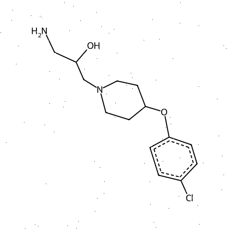 NCC(O)CN1CCC(Oc2ccc(Cl)cc2)CC1